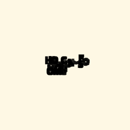 COc1ccc2nccc(C(O)CC[C@@H]3CCN(CCCSc4ccccc4F)C[C@@H]3C(=O)O)c2c1